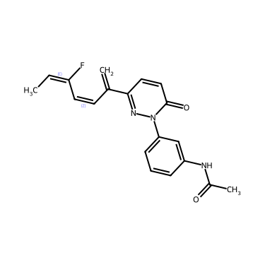 C=C(/C=C\C(F)=C/C)c1ccc(=O)n(-c2cccc(NC(C)=O)c2)n1